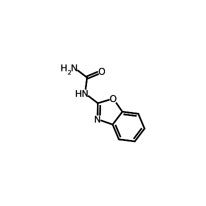 NC(=O)Nc1nc2ccccc2o1